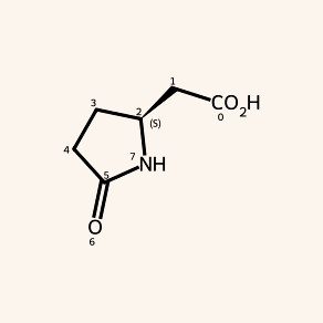 O=C(O)C[C@@H]1CCC(=O)N1